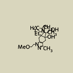 CC[C@]1(c2cc(O)ccc2C)Cc2c(c(C)nn2CCOC)C[C@@]1(O)[C@@H](C)N(C)CC1CC1